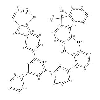 C=Cc1sc2cc(-c3cc(-c4ccccc4)nc(-c4cccc(-c5cccc6c5Oc5ccc7c(c5O6)-c5ccccc5C7(C)C)c4)n3)ccc2c1C=C